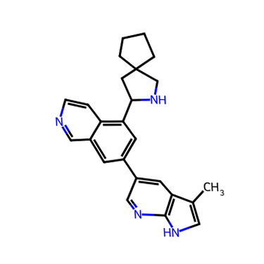 Cc1c[nH]c2ncc(-c3cc(C4CC5(CCCC5)CN4)c4ccncc4c3)cc12